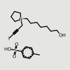 Cc1ccc(S(=O)(=O)O)cc1.OCCCCCCC[N+]1(CC#CI)CCCC1